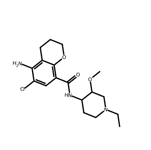 CCN1CCC(NC(=O)c2cc(Cl)c(N)c3c2OCCC3)C(OC)C1